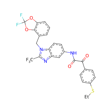 CCSc1ccc(C(=O)C(=O)Nc2ccc3c(c2)nc(C(F)(F)F)n3Cc2cccc3c2OC(F)(F)O3)cc1